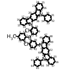 Cc1cc(C)c(B(c2cccc(-n3c4ccccc4c4cc5c6ccccc6n(-c6ccccc6)c5cc43)c2)c2cccc(-n3c4ccccc4c4cc5c6ccccc6n(-c6ccccc6)c5cc43)c2)c(C)c1